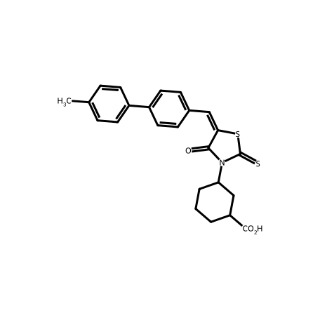 Cc1ccc(-c2ccc(/C=C3/SC(=S)N(C4CCCC(C(=O)O)C4)C3=O)cc2)cc1